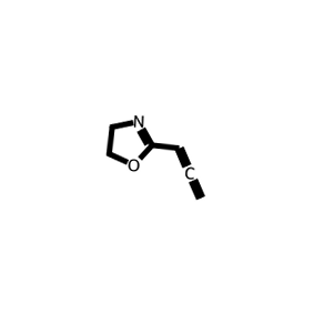 C=C=CC1=NCCO1